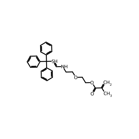 C=C(C)C(=O)OCCOCCNC=[SH]C(c1ccccc1)(c1ccccc1)c1ccccc1